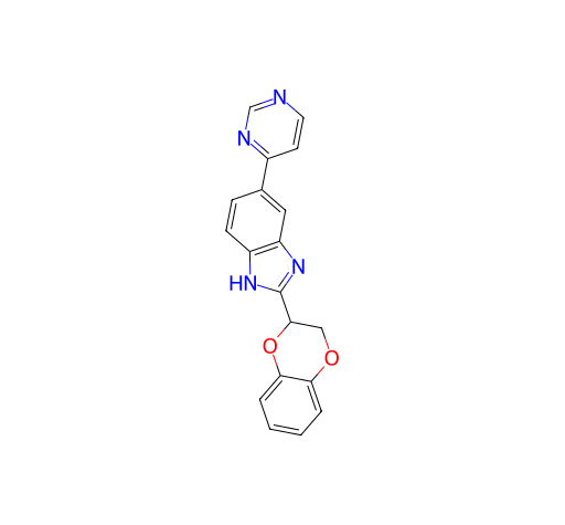 c1ccc2c(c1)OCC(c1nc3cc(-c4ccncn4)ccc3[nH]1)O2